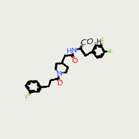 O=C(CC1CCN(C(=O)CCc2cccc(F)c2)CC1)NC(Cc1ccc(F)c(F)c1)C(=O)O